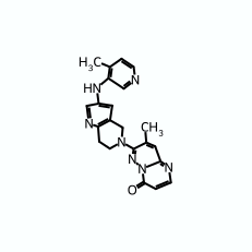 Cc1ccncc1Nc1cnc2c(c1)CN(c1nn3c(=O)ccnc3cc1C)CC2